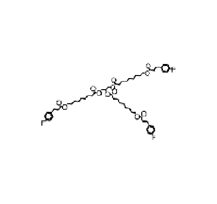 O=C(C=Cc1ccc(F)cc1)OCCCCCCCCC(=O)OCC(COC(=O)CCCCCCCCOC(=O)C=Cc1ccc(F)cc1)OC(=O)CCCCCCCCOC(=O)C=Cc1ccc(F)cc1